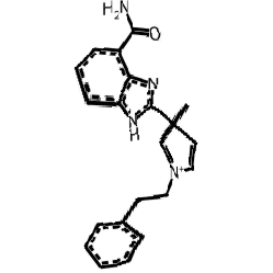 CC1(c2nc3c(C(N)=O)cccc3[nH]2)C=C[N+](CCc2ccccc2)=C1